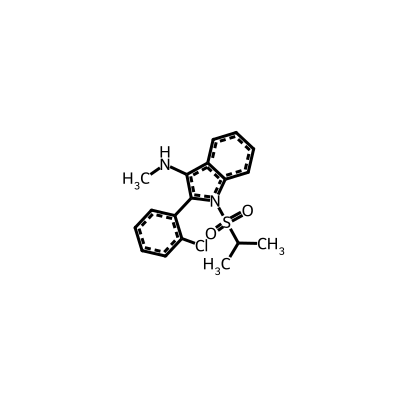 CNc1c(-c2ccccc2Cl)n(S(=O)(=O)C(C)C)c2ccccc12